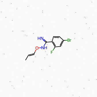 CC=CONC(=N)c1ccc(Br)cc1F